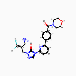 NCC(Cn1ncn(-c2cccc(-c3ccc(C(=O)N4CCOCC4)cc3)n2)c1=O)=C(F)F